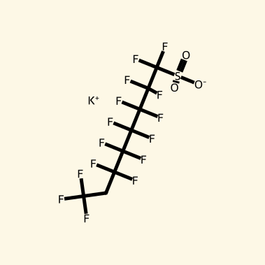 O=S(=O)([O-])C(F)(F)C(F)(F)C(F)(F)C(F)(F)C(F)(F)C(F)(F)CC(F)(F)F.[K+]